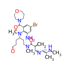 C=C(/C=N\C=C(/C)NC)C(=O)N(C)CCC(CCC=O)N(C)c1c(N)cc(Br)cc1C(=O)N1CCCOCC1